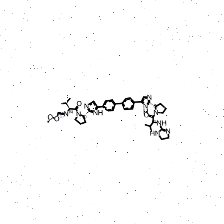 COO/C=N/[C@H](C(=O)N1CCC[C@H]1c1ncc(-c2ccc(-c3ccc(-c4cnc([C@@H]5CCCN5C(=O)[C@@H](NC5=NCCN5)C(C)C)[nH]4)cc3)cc2)[nH]1)C(C)C